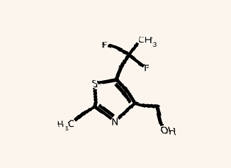 Cc1nc(CO)c(C(C)(F)F)s1